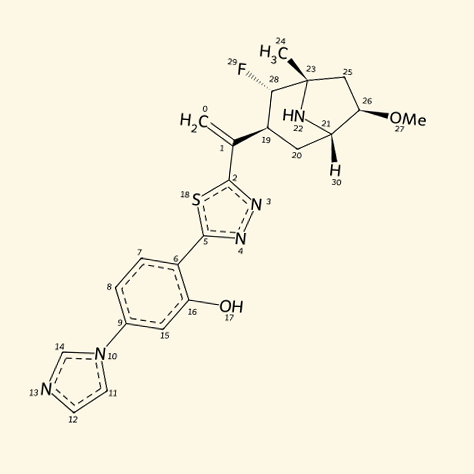 C=C(c1nnc(-c2ccc(-n3ccnc3)cc2O)s1)[C@@H]1C[C@@H]2N[C@@](C)(C[C@H]2OC)[C@H]1F